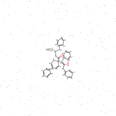 O=C(O)C(CC(=O)C1(c2c(Cc3ccccc3)oc3ccccc23)C=CC(c2ccccc2)=CC1)Cc1ccccc1